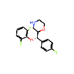 Fc1ccc([C@H](Oc2c(F)cccc2F)C2CNCCO2)cc1